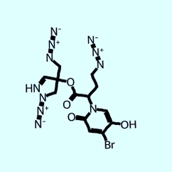 [N-]=[N+]=NCCC(C(=O)OC(C=N)(CN=[N+]=[N-])CN=[N+]=[N-])n1cc(O)c(Br)cc1=O